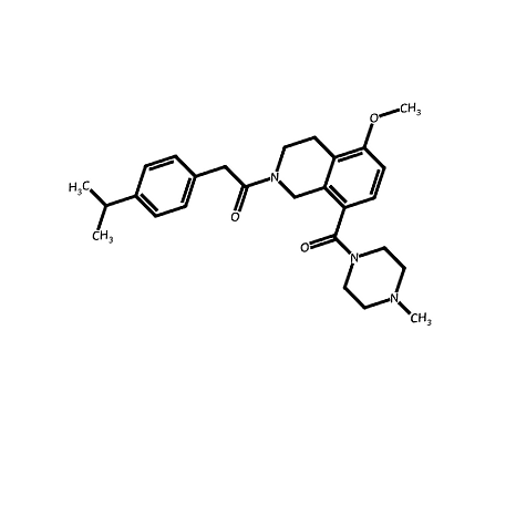 COc1ccc(C(=O)N2CCN(C)CC2)c2c1CCN(C(=O)Cc1ccc(C(C)C)cc1)C2